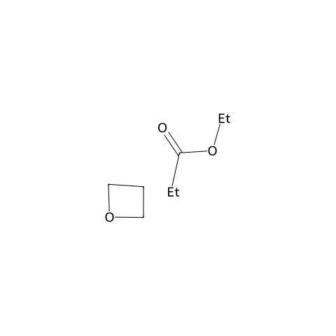 C1COC1.CCOC(=O)CC